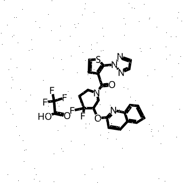 O=C(O)C(F)(F)F.O=C(c1ccsc1-n1nccn1)N1CCC(F)(F)C(Oc2ccc3ccccc3n2)C1